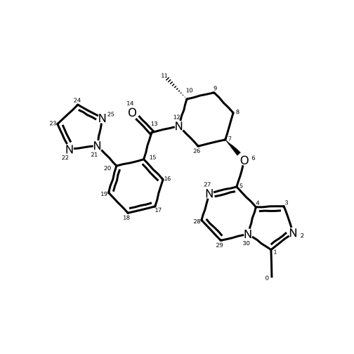 Cc1ncc2c(O[C@@H]3CC[C@@H](C)N(C(=O)c4ccccc4-n4nccn4)C3)nccn12